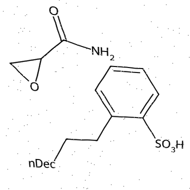 CCCCCCCCCCCCc1ccccc1S(=O)(=O)O.NC(=O)C1CO1